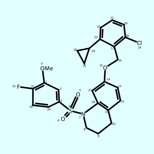 COc1cc(S(=O)(=O)N2CCCc3ccc(OCc4c(Cl)cccc4C4CC4)cc32)ccc1F